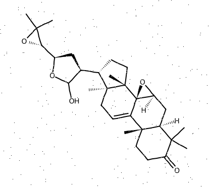 CC1(C)O[C@H]1[C@H]1C[C@@H]([C@@H]2CC[C@@]3(C)[C@@]2(C)CC=C2[C@]34O[C@H]4C[C@H]3C(C)(C)C(=O)CC[C@]23C)C(O)O1